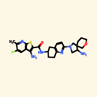 Cc1nc2sc(C(=O)NC3CCc4nc(N5CC(N)C6(CCCOC6)C5)ccc4C3)c(N)c2cc1F